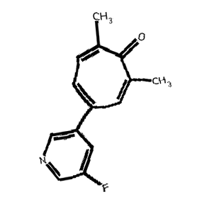 Cc1ccc(-c2cncc(F)c2)cc(C)c1=O